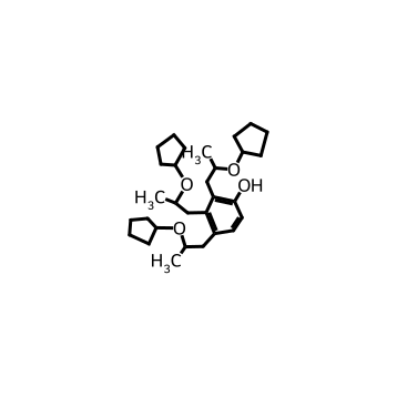 CC(Cc1ccc(O)c(CC(C)OC2CCCC2)c1CC(C)OC1CCCC1)OC1CCCC1